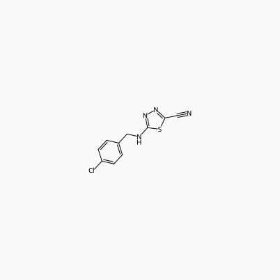 N#Cc1nnc(NCc2ccc(Cl)cc2)s1